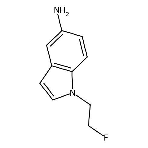 Nc1ccc2c(ccn2CCF)c1